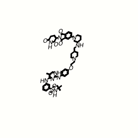 Cc1cnc(Nc2ccc(OCCN3CCC(CN[C@@H]4CCCN(c5ccc6c(c5)C(=O)N(C5CCC(=O)NC5=O)C6=O)C4)CC3)cc2)nc1Nc1cccc(S(=O)(=O)NC(C)(C)C)c1